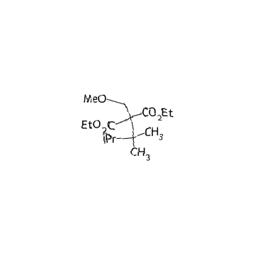 CCOC(=O)C(COC)(C(=O)OCC)C(C)(C)C(C)C